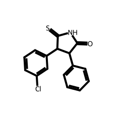 O=C1NC(=S)C(c2cccc(Cl)c2)C1c1ccccc1